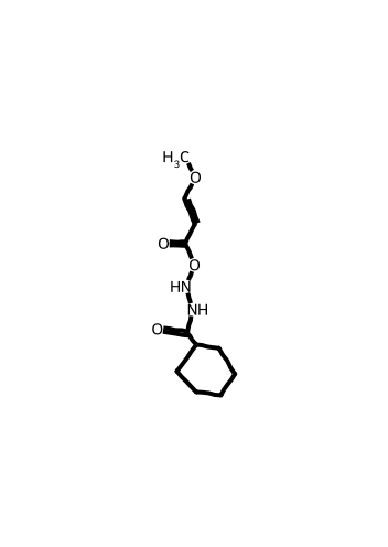 COC=CC(=O)ONNC(=O)C1CCCCC1